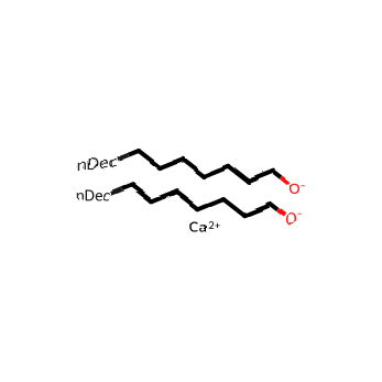 CCCCCCCCCCCCCCCCC[O-].CCCCCCCCCCCCCCCCC[O-].[Ca+2]